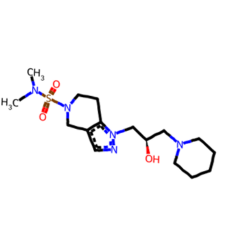 CN(C)S(=O)(=O)N1CCc2c(cnn2C[C@H](O)CN2CCCCC2)C1